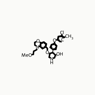 COCCCN1CCOc2ccc(CO[C@H]3CNC[C@@H](O)[C@@H]3c3ccc(Oc4ccc(C)c(Cl)c4)cc3)cc21